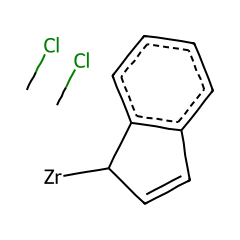 CCl.CCl.[Zr][CH]1C=Cc2ccccc21